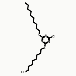 CCCCCCCCCCSc1nc(Cl)nc(SCCCCCCCCO)n1